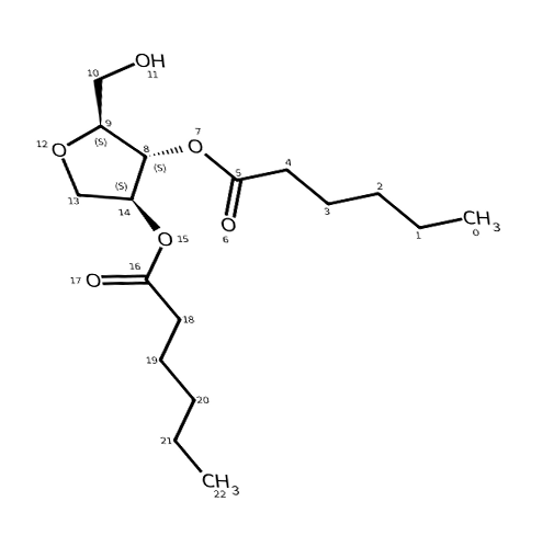 CCCCCC(=O)O[C@H]1[C@H](CO)OC[C@@H]1OC(=O)CCCCC